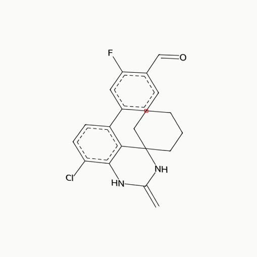 C=C1Nc2c(Cl)ccc(-c3ccc(C=O)c(F)c3)c2C2(CCCCC2)N1